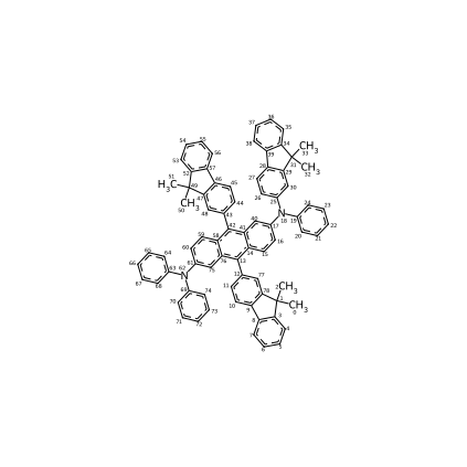 CC1(C)c2ccccc2-c2ccc(-c3c4ccc(N(c5ccccc5)c5ccc6c(c5)C(C)(C)c5ccccc5-6)cc4c(-c4ccc5c(c4)C(C)(C)c4ccccc4-5)c4ccc(N(c5ccccc5)c5ccccc5)cc34)cc21